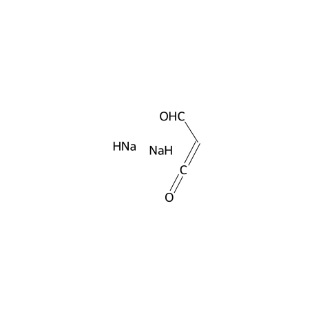 O=C=CC=O.[NaH].[NaH]